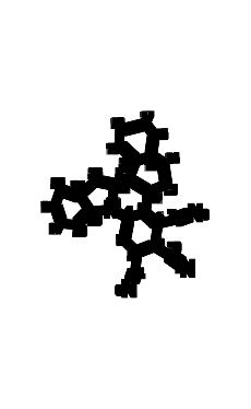 N#Cc1cc2c(c(C#N)c1C#N)c1ccc3ccccc3c1c1cc3ccccc3n21